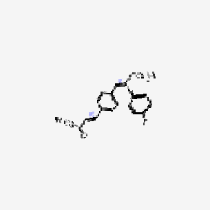 COC(=O)/C=C/c1ccc(/C=C(/C(=O)O)c2ccc(F)cc2)cc1